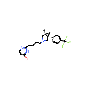 Oc1ccnc(CCCCN2C[C@@H]3C[C@]3(C3C=CC(C(F)(F)F)=CC3)C2)n1